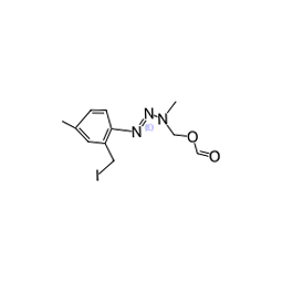 Cc1ccc(/N=N/N(C)COC=O)c(CI)c1